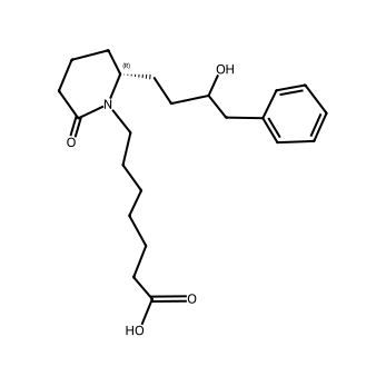 O=C(O)CCCCCCN1C(=O)CCC[C@@H]1CCC(O)Cc1ccccc1